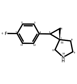 Fc1ccc(C2C[C@]23CCNC3)cc1